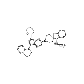 O=C(O)N[C@@H]1c2ccccc2CC12CCN(c1cnc3c(N4CCCc5ncccc54)nn(C4CCCCO4)c3n1)CC2